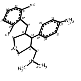 CN(C)CC1[CH]OCC(Cc2c(F)cccc2F)C1c1ccc(N)cc1